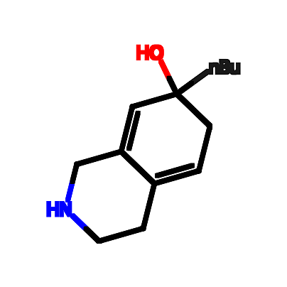 CCCCC1(O)C=C2CNCCC2=CC1